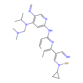 C=Nc1cnc(NC(/C=C\C)=N/C(=C/C)C(/C=N)=C/N(S)C2CC2)cc1N(CN(C)C)C(C)C